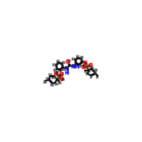 CC1=CCC(C)(S(=O)(=O)Oc2cccc(NC(=O)Nc3ccccc3OS(=O)(=O)C3(C)C=CC(C)=CC3)c2)C=C1